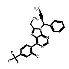 CC#CC(c1ccccc1)n1c(CC)nc2c(-c3ccc(C(F)(F)F)cc3Cl)ncnc21